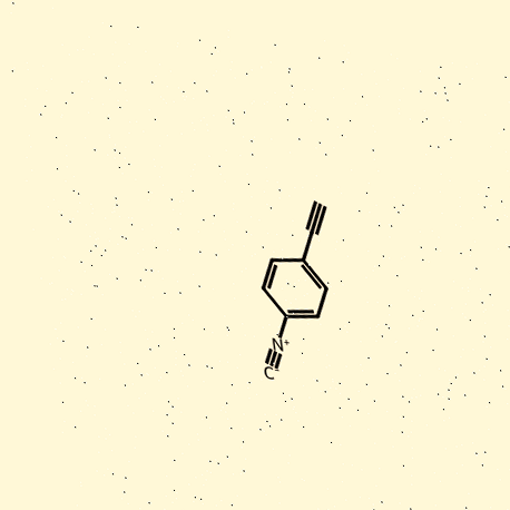 [C-]#[N+]c1ccc(C#C)cc1